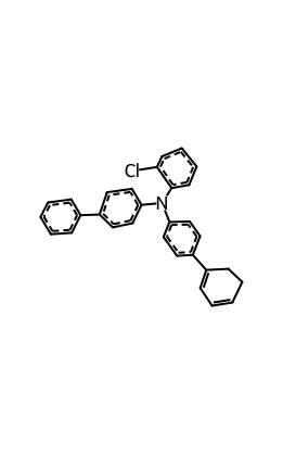 Clc1ccccc1N(c1ccc(C2=CC=CCC2)cc1)c1ccc(-c2ccccc2)cc1